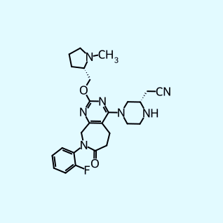 CN1CCC[C@H]1COc1nc2c(c(N3CCN[C@@H](CC#N)C3)n1)CCC(=O)N(c1ccccc1F)C2